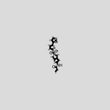 C=CC(=O)Nc1cc2c(s1)CN(S(=O)(=O)c1ccc(-c3ccno3)s1)C2